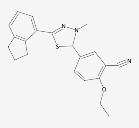 CCOc1ccc(C2SC(c3cccc4c3CCC4)=NN2C)cc1C#N